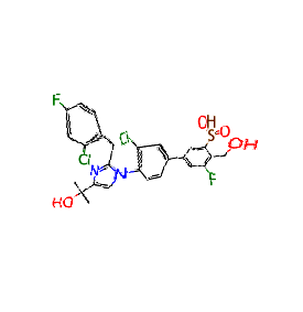 CC(C)(O)c1cn(-c2ccc(-c3cc(F)c(CO)c([SH](=O)=O)c3)cc2Cl)c(Cc2ccc(F)cc2Cl)n1